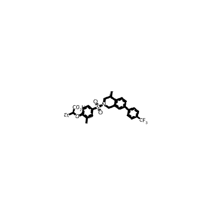 CCC(Oc1ccc(S(=O)(=O)N2Cc3cc(-c4ccc(C(F)(F)F)cc4)ccc3C(C)C2)cc1C)C(=O)O